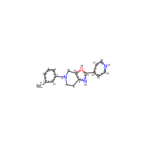 N#Cc1cccc(N2CCc3nc(-c4ccncc4)oc3C2)c1